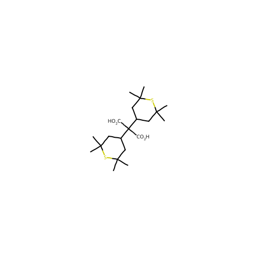 CC1(C)CC(C(C(=O)O)(C(=O)O)C2CC(C)(C)SC(C)(C)C2)CC(C)(C)S1